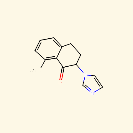 COc1cccc2c1C(=O)C(n1ccnc1)CC2